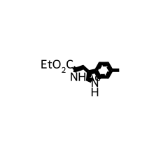 CCOC(=O)C(=Cc1c[nH]c2cc(C)ccc12)NC(C)=O